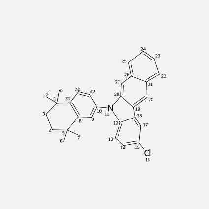 CC1(C)CCC(C)(C)c2cc(-n3c4ccc(Cl)cc4c4cc5ccccc5cc43)ccc21